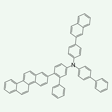 c1ccc(-c2ccc(N(c3ccc(-c4ccc5ccccc5c4)cc3)c3ccc(-c4ccc5c(ccc6c7ccccc7ccc56)c4)c(-c4ccccc4)c3)cc2)cc1